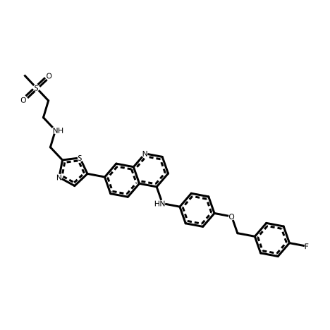 CS(=O)(=O)CCNCc1ncc(-c2ccc3c(Nc4ccc(OCc5ccc(F)cc5)cc4)ccnc3c2)s1